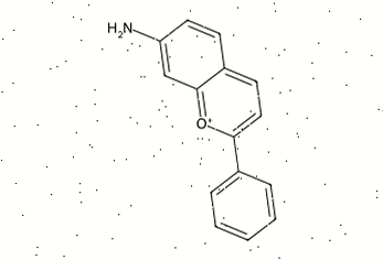 Nc1ccc2ccc(-c3ccccc3)[o+]c2c1